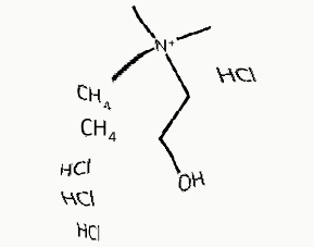 C.C.C[N+](C)(C)CCO.Cl.Cl.Cl.Cl